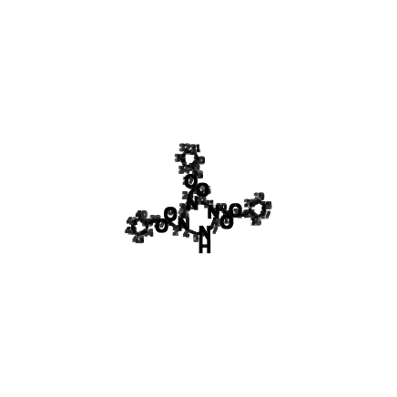 O=C(CN1CCNCCN(CC(=O)OCc2ccccc2)CCN(CC(=O)OCc2ccccc2)CC1)OCc1ccccc1